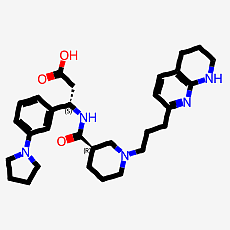 O=C(O)C[C@H](NC(=O)[C@@H]1CCCN(CCCc2ccc3c(n2)NCCC3)C1)c1cccc(N2CCCC2)c1